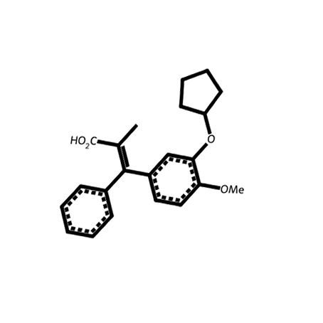 COc1ccc(C(=C(C)C(=O)O)c2ccccc2)cc1OC1CCCC1